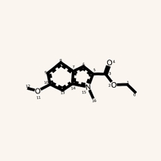 CCOC(=O)c1cc2ccc(OC)cc2n1C